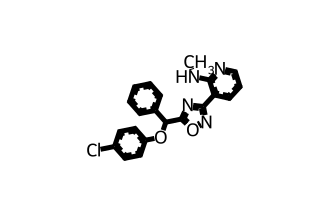 CNc1ncccc1-c1noc(C(Oc2ccc(Cl)cc2)c2ccccc2)n1